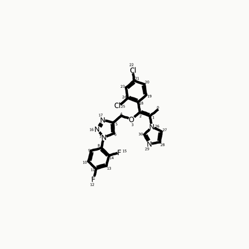 C/C(=C(/OCc1cn(-c2ccc(F)cc2F)nn1)c1ccc(Cl)cc1Cl)n1ccnc1